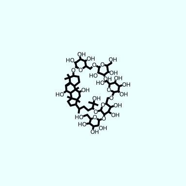 CC(CCC(OC1OC(COC2OC(CO)C(O)C(O)C2O)C(O)C(O)C1OC1OC(CO)C(O)C(O)C1O)C(C)(C)O)C1CCC2(C)C3C(O)C=C4C(CCC(OC5OC(COC6OC(CO)C(O)C(O)C6O)C(O)C(O)C5O)C4(C)C)C3(C)C(O)CC12C